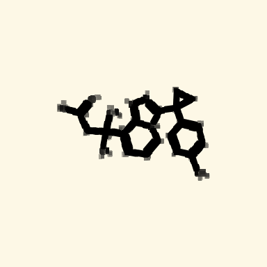 Cc1ccc(C2(c3nnc4c(C(C)(C)CC(=O)O)cccn34)CC2)cc1